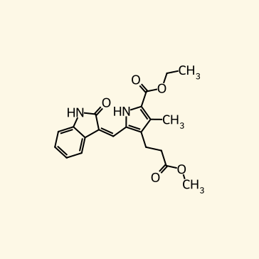 CCOC(=O)c1[nH]c(/C=C2\C(=O)Nc3ccccc32)c(CCC(=O)OC)c1C